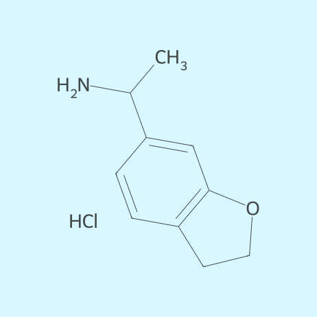 CC(N)c1ccc2c(c1)OCC2.Cl